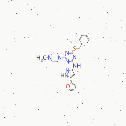 CN1CCN(c2nc(Nc3cc(-c4ccco4)[nH]n3)nc(SCc3ccccc3)n2)CC1